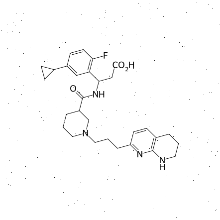 O=C(O)CC(NC(=O)C1CCCN(CCCc2ccc3c(n2)NCCC3)C1)c1cc(C2CC2)ccc1F